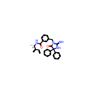 C=CC(=C)[C@H](C)NC(=O)c1cccc(CN2C(=N)NC(c3ccccc3)(c3ccccc3)C2=O)c1